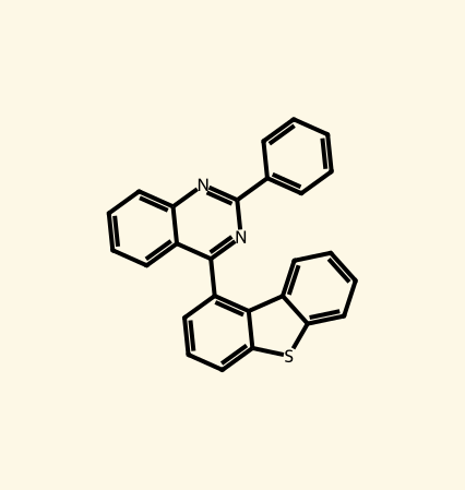 c1ccc(-c2nc(-c3cccc4sc5ccccc5c34)c3ccccc3n2)cc1